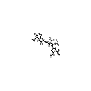 C=CC(=O)N1C[C@@H](n2nc(C#Cc3cc4nnc(F)c(C5CC5)c4cc3Cl)c(C(N)=O)c2N)C[C@@H]1COC